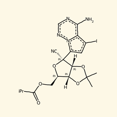 CC(C)C(=O)OC[C@H]1O[C@@](C#N)(c2cc(I)c3c(N)ncnn23)[C@@H]2OC(C)(C)O[C@@H]21